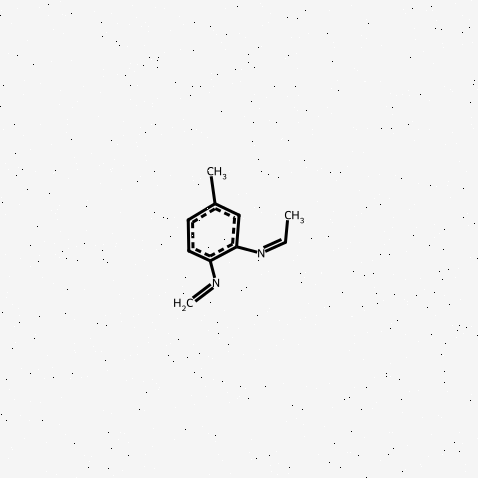 C=Nc1ccc(C)cc1/N=C\C